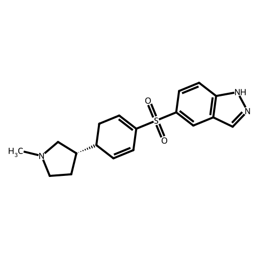 CN1CC[C@@H](C2C=CC(S(=O)(=O)c3ccc4[nH]ncc4c3)=CC2)C1